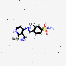 CNc1nccc(NCc2ccc(S(N)(=O)=O)cc2C)c1C=N